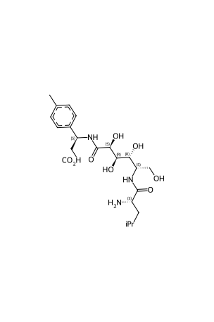 Cc1ccc([C@H](CC(=O)O)NC(=O)[C@@H](O)[C@H](O)[C@H](O)[C@H](CO)NC(=O)[C@@H](N)CC(C)C)cc1